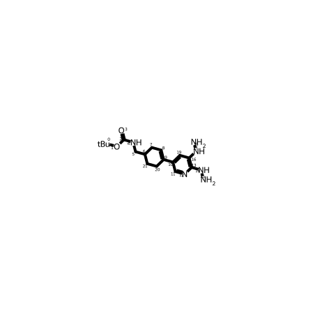 CC(C)(C)OC(=O)NCC1CC=C(c2cnc(NN)c(NN)c2)CC1